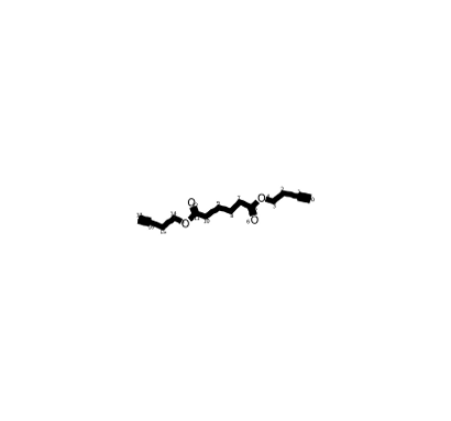 C#CCCOC(=O)CCCCC(=O)OCCC#C